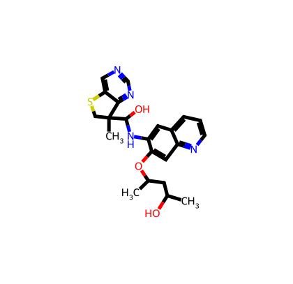 CC(O)CC(C)Oc1cc2ncccc2cc1NC(O)C1(C)CSc2cncnc21